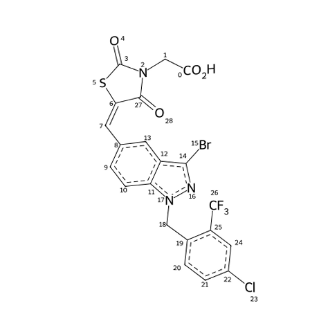 O=C(O)CN1C(=O)SC(=Cc2ccc3c(c2)c(Br)nn3Cc2ccc(Cl)cc2C(F)(F)F)C1=O